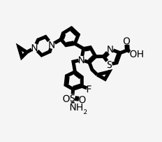 NS(=O)(=O)c1ccc(Cn2c(-c3cccc(N4CCN(C5CC5)CC4)c3)cc(-c3nc(C(=O)O)cs3)c2CC2CC2)cc1F